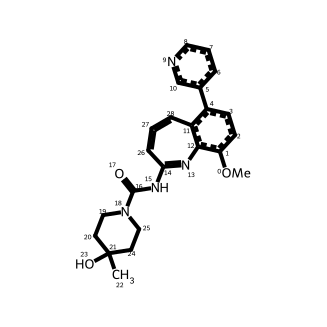 COc1ccc(-c2cccnc2)c2c1N=C(NC(=O)N1CCC(C)(O)CC1)C=C=C2